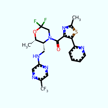 Cc1nc(C(=O)N2CC(F)(F)O[C@@H](C)[C@H]2CNc2cnc(C(F)(F)F)cn2)c(-c2ccccn2)s1